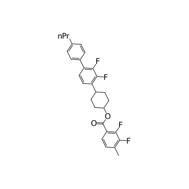 CCCc1ccc(-c2ccc(C3CCC(OC(=O)c4ccc(C)c(F)c4F)CC3)c(F)c2F)cc1